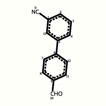 N#Cc1cccc(-c2ccc(C=O)cc2)c1